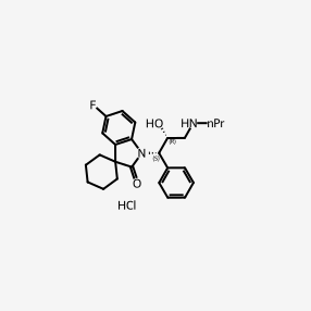 CCCNC[C@@H](O)[C@H](c1ccccc1)N1C(=O)C2(CCCCC2)c2cc(F)ccc21.Cl